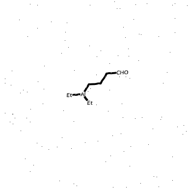 C[CH2][Al]([CH2]C)[CH2]CCC=O